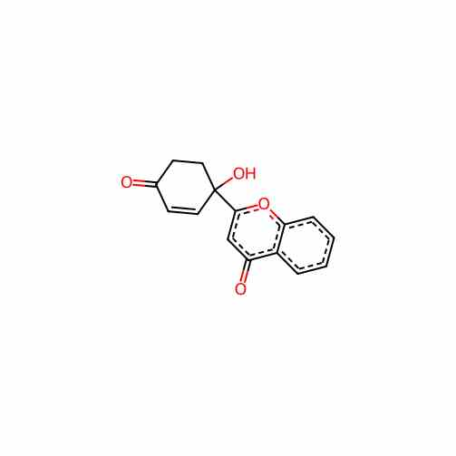 O=C1C=CC(O)(c2cc(=O)c3ccccc3o2)CC1